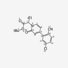 CCC(C(=O)OC(C)(C)C)n1ccc(-c2cc(Cl)ccc2C#N)cc1=O